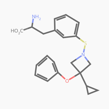 NC(Cc1cccc(SN2CC(Oc3ccccc3)(C3CC3)C2)c1)C(=O)O